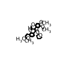 COc1cc2c(cc1OC)[C@H]1[C@H](OC3CCCCO3)c3ccc4c(c3O[C@@H]1CO2)C=CC(C)(C)O4